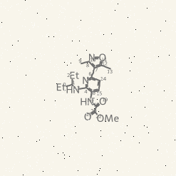 CCC(CC)Nc1nc(-c2c(C)noc2C)ccc1NC(=O)C(=O)OC